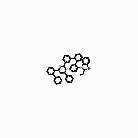 CCC1Nc2ccccc2N1c1ccccc1-c1ccccc1-c1cccc(C2N=C(c3ccccc3-c3ccccc3)C=C(c3ccccc3)N2)c1